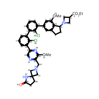 CCOC(=O)C1CN(C2CCc3cc(-c4cccc(-c5cccc(-c6cnc(CN7CC8(CCC(=O)N8)C7)c(OC)n6)c5Cl)c4Cl)cc(OC)c32)C1